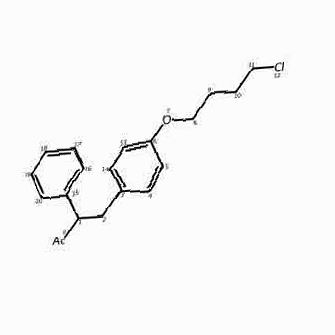 CC(=O)C(Cc1ccc(OCCCCCl)cc1)c1ccccc1